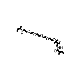 CCC(C)NCCOCCOCCOCCOCCOC(C)(C)C(F)CNC(=O)C(C)CC